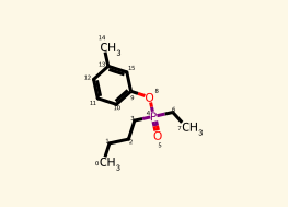 CCCCP(=O)(CC)Oc1cccc(C)c1